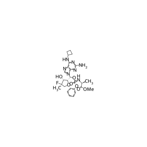 COC(=O)[C@H](C)NP(=O)(Oc1ccccc1)OC([C@@H]1OC[C@@](C)(F)[C@@H]1O)n1cnc2c(NC3CCC3)nc(N)nc21